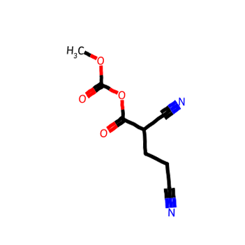 COC(=O)OC(=O)C(C#N)CCC#N